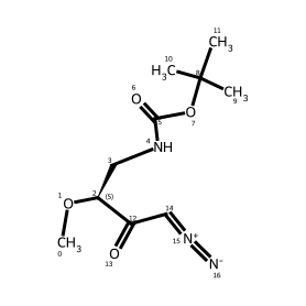 CO[C@@H](CNC(=O)OC(C)(C)C)C(=O)C=[N+]=[N-]